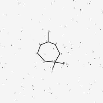 [CH2]C1CCCC(F)(F)CC1